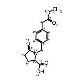 COC(=O)Cc1ccc(CN2C(=O)CC[C@@H]2C(=O)O)cc1